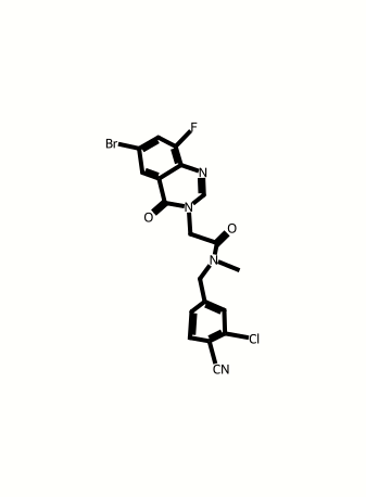 CN(Cc1ccc(C#N)c(Cl)c1)C(=O)Cn1cnc2c(F)cc(Br)cc2c1=O